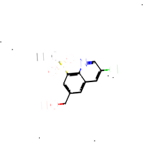 CS(=O)(=O)c1cc(CO)cc2cc(Cl)cnc12